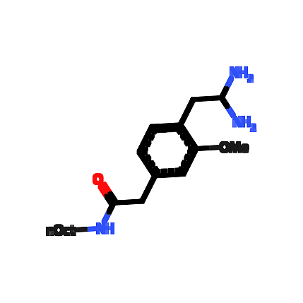 CCCCCCCCNC(=O)Cc1ccc(CC(N)N)c(OC)c1